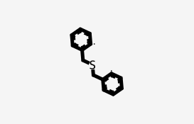 [c]1ccccc1CSCc1[c]cccc1